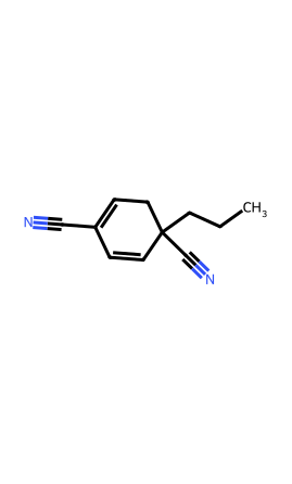 CCCC1(C#N)C=CC(C#N)=CC1